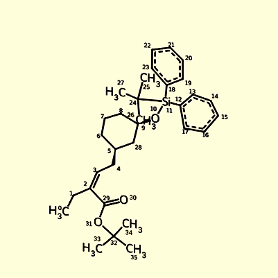 CCC(=CC[C@H]1CCC[C@@H](O[Si](c2ccccc2)(c2ccccc2)C(C)(C)C)C1)C(=O)OC(C)(C)C